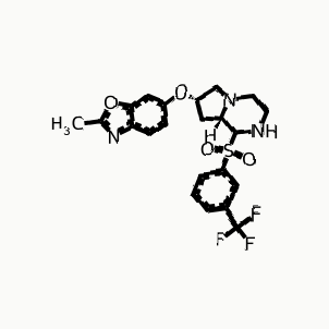 Cc1nc2ccc(O[C@H]3C[C@H]4C(S(=O)(=O)c5cccc(C(F)(F)F)c5)NCCN4C3)cc2o1